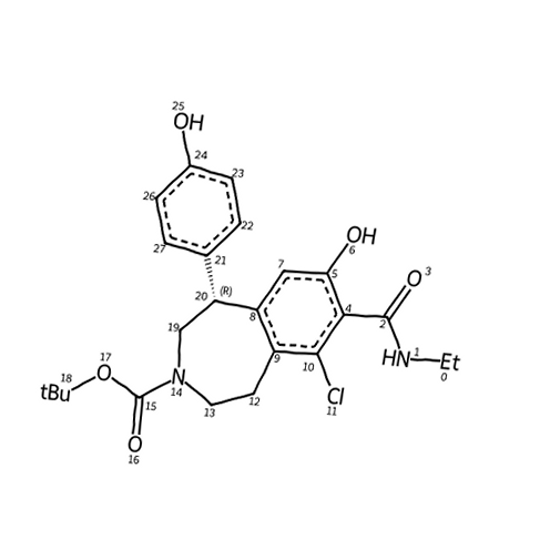 CCNC(=O)c1c(O)cc2c(c1Cl)CCN(C(=O)OC(C)(C)C)C[C@@H]2c1ccc(O)cc1